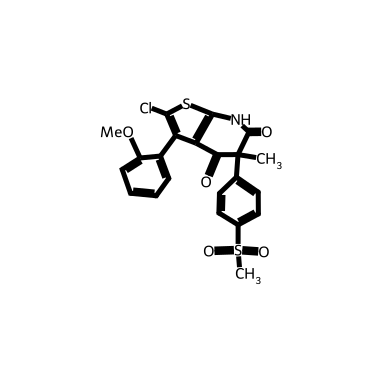 COc1ccccc1-c1c(Cl)sc2c1C(=O)C(C)(c1ccc(S(C)(=O)=O)cc1)C(=O)N2